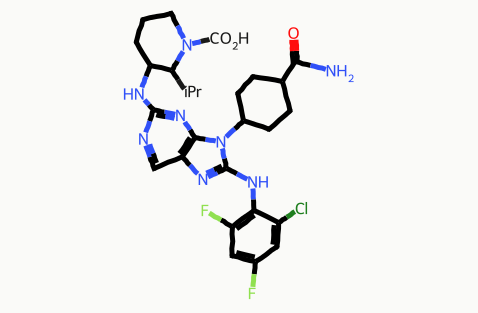 CC(C)C1C(Nc2ncc3nc(Nc4c(F)cc(F)cc4Cl)n(C4CCC(C(N)=O)CC4)c3n2)CCCN1C(=O)O